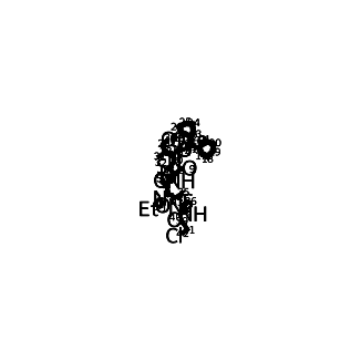 CCO/N=C(/C(=O)NC1C(=O)N2C(C(=O)OC(c3ccccc3)c3ccccc3)=C(COC)CS[C@H]12)c1csc(NC(=O)CCl)n1